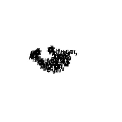 CC(=O)N1CCC[C@H]1C(=O)N[C@@H](CC(C)C)C(=O)NCC(=O)N[C@@H](CCc1ccccc1)C(=O)N[C@@H](Cc1ccc(O)cc1)C(=O)N[C@@H](CC(C)C)C(=O)NNC(=O)c1ccc(NN=Cc2ccccc2S(=O)(=O)ON)nc1